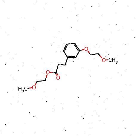 COCCOC(=O)CCc1cccc(OCCOC)c1